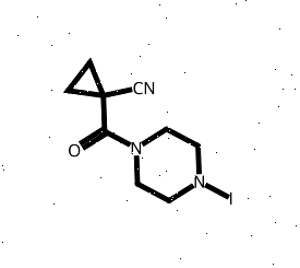 N#CC1(C(=O)N2CCN(I)CC2)CC1